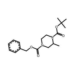 CC1CN(C(=O)OCc2ccccc2)CCN1C(=O)OC(C)(C)C